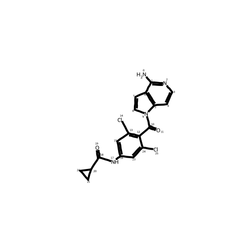 Nc1nccc2c1ccn2C(=O)c1c(Cl)cc(NC(=O)C2CC2)cc1Cl